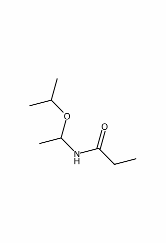 CCC(=O)NC(C)OC(C)C